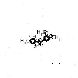 COc1ccc(-c2nnc(-c3cc(C)c(C)cc3Br)o2)cc1OC